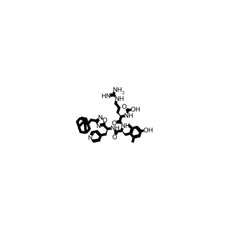 Cc1cc(O)cc(C)c1C[C@H](NC(=O)[C@@H](CCCNC(=N)N)NC(=O)O)C(=O)N[C@@H](Cc1ccncc1)c1nc(CC23CC4CC(CC(C4)C2)C3)no1